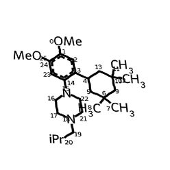 COc1cc(C2CC(C)(C)CC(C)(C)C2)c(N2CCN(CC(C)C)CC2)cc1OC